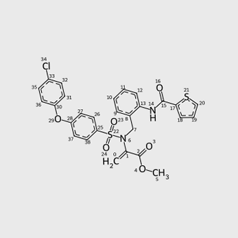 C=C(C(=O)OC)N(Cc1ccccc1NC(=O)c1cccs1)S(=O)(=O)c1ccc(Oc2ccc(Cl)cc2)cc1